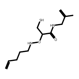 C=CCCCNOC(CS)C(=O)NCC(=C)C